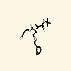 CC(C(=O)OC(C)(C)C)N(CCOCc1ccccc1)C(=O)OCCl